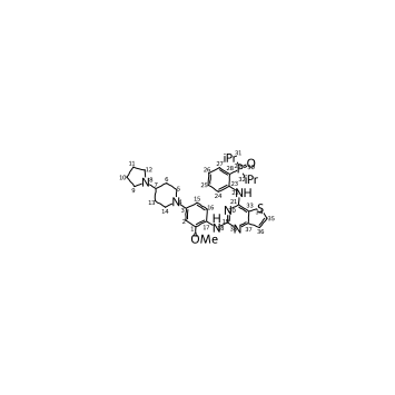 COc1cc(N2CCC(N3CCCC3)CC2)ccc1Nc1nc(Nc2ccccc2P(=O)(C(C)C)C(C)C)c2sccc2n1